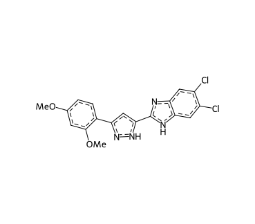 COc1ccc(-c2cc(-c3nc4cc(Cl)c(Cl)cc4[nH]3)[nH]n2)c(OC)c1